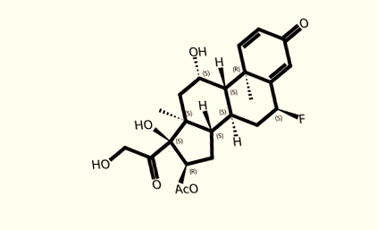 CC(=O)O[C@@H]1C[C@H]2[C@@H]3C[C@H](F)C4=CC(=O)C=C[C@]4(C)[C@H]3[C@@H](O)C[C@]2(C)[C@@]1(O)C(=O)CO